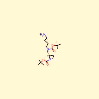 CC(C)(C)OC(=O)N(CCCCN)C[C@@H]1CCN1C(=O)OC(C)(C)C